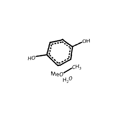 COC.O.Oc1ccc(O)cc1